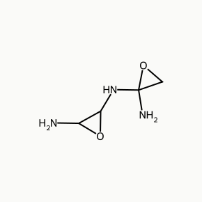 NC1OC1NC1(N)CO1